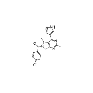 Cc1nc2c(c(-c3cn[nH]c3)n1)C(C)N(C(=O)c1ccc(Cl)cc1)C2